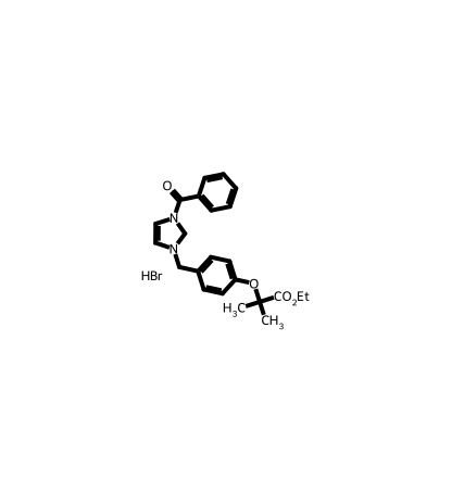 Br.CCOC(=O)C(C)(C)Oc1ccc(CN2C=CN(C(=O)c3ccccc3)C2)cc1